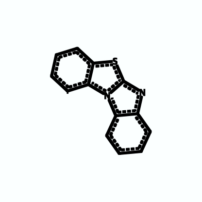 [c]1cccc2sc3nc4ccccc4n3c12